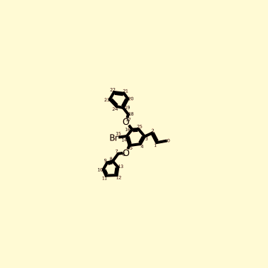 CC=Cc1cc(OCc2ccccc2)c(Br)c(OCc2ccccc2)c1